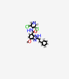 COc1ccc(C(=O)Nc2c(Cl)cncc2Cl)c2[nH]c(CCc3ccccc3)nc12